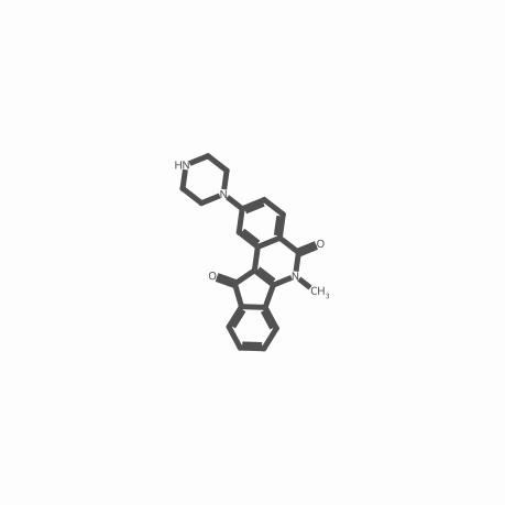 Cn1c2c(c3cc(N4CCNCC4)ccc3c1=O)C(=O)c1ccccc1-2